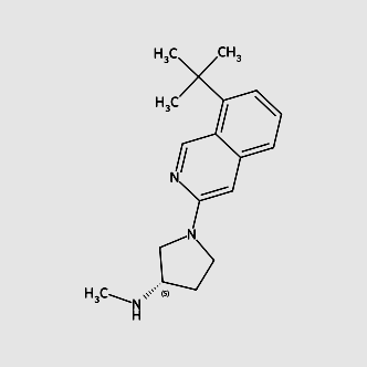 CN[C@H]1CCN(c2cc3cccc(C(C)(C)C)c3cn2)C1